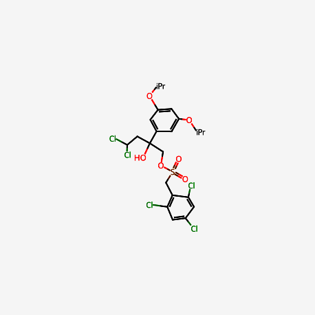 CC(C)Oc1cc(OC(C)C)cc(C(O)(COS(=O)(=O)Cc2c(Cl)cc(Cl)cc2Cl)CC(Cl)Cl)c1